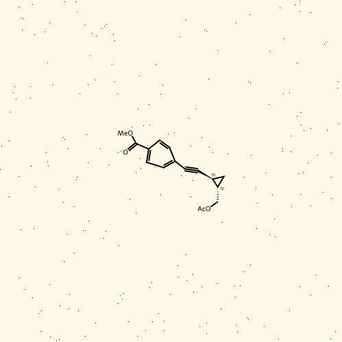 COC(=O)c1ccc(C#C[C@H]2C[C@@H]2COC(C)=O)cc1